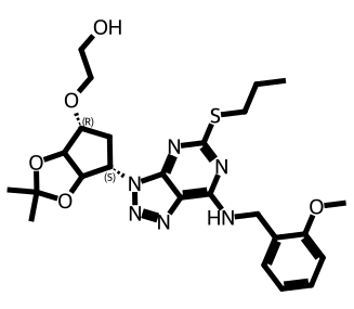 CCCSc1nc(NCc2ccccc2OC)c2nnn([C@H]3C[C@@H](OCCO)C4OC(C)(C)OC43)c2n1